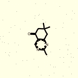 Cc1ncc2c(n1)CC(C)(C)CC2=O